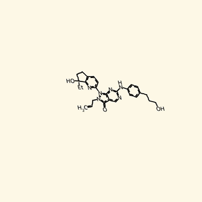 C=CCn1c(=O)c2cnc(Nc3ccc(CCCO)cc3)nc2n1-c1ccc2c(n1)[C@@](O)(CC)CC2